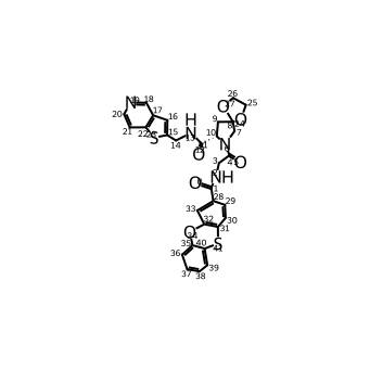 O=C(NCC(=O)N1CC2(C[C@H]1C(=O)NCc1cc3cnccc3s1)OCCO2)c1ccc2c(c1)Oc1ccccc1S2